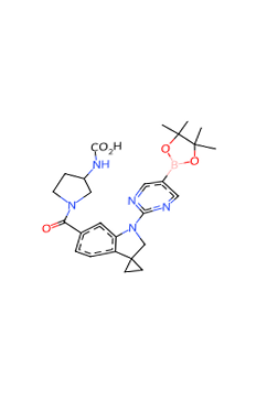 CC1(C)OB(c2cnc(N3CC4(CC4)c4ccc(C(=O)N5CCC(NC(=O)O)C5)cc43)nc2)OC1(C)C